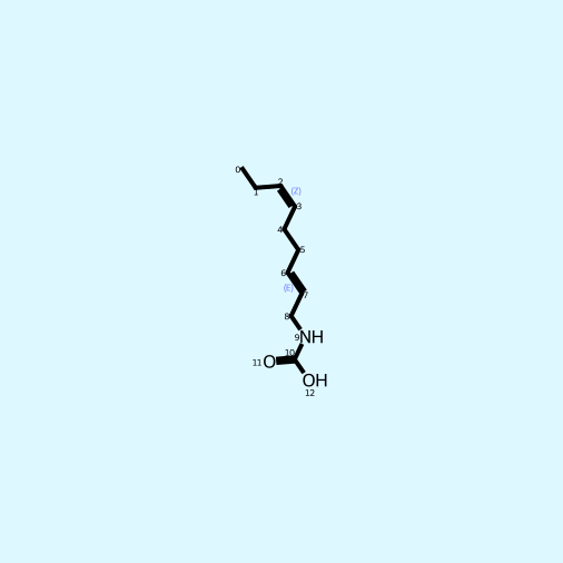 CC/C=C\CC/C=C/CNC(=O)O